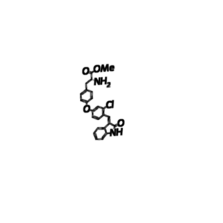 COC(=O)[C@H](N)Cc1ccc(Oc2ccc(/C=C3/C(=O)Nc4ccccc43)c(Cl)c2)cc1